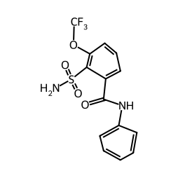 NS(=O)(=O)c1c(OC(F)(F)F)cccc1C(=O)Nc1ccccc1